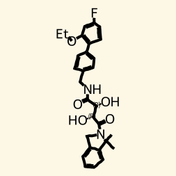 CCOc1cc(F)ccc1-c1ccc(CNC(=O)[C@H](O)[C@@H](O)C(=O)N2Cc3ccccc3C2(C)C)cc1